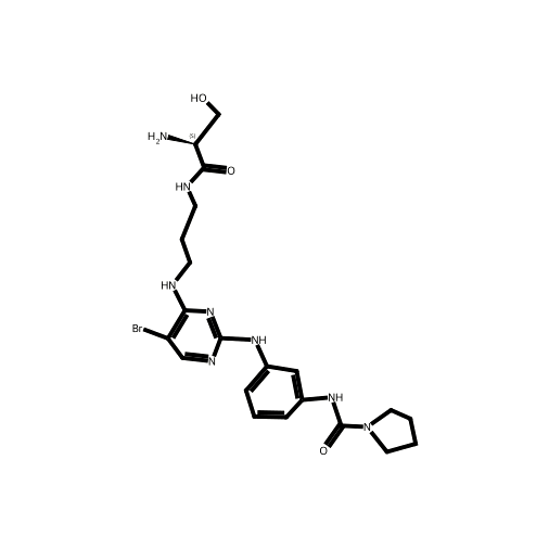 N[C@@H](CO)C(=O)NCCCNc1nc(Nc2cccc(NC(=O)N3CCCC3)c2)ncc1Br